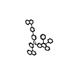 c1ccc(-c2c(-c3ccccc3)c3cc(N(c4ccc(-c5ccc(-c6cccc7ccccc67)cc5)cc4)c4cccc(-c5cccc6ccccc56)c4)ccc3c3ccccc23)cc1